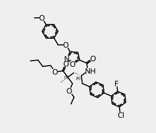 CCCCOC(=O)[C@](C)(COCC)C[C@@H](Cc1ccc(-c2cc(Cl)ccc2F)cc1)NC(=O)c1cc(OCc2ccc(OC)cc2)no1